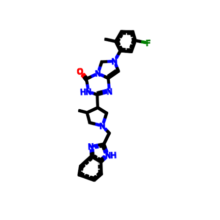 Cc1ccc(F)cc1N1C=C2N=C(C3CN(Cc4nc5ccccc5[nH]4)CC3C)NC(=O)N2C1